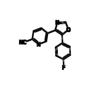 N#Cc1ccc(-c2ncoc2-c2ccc(F)cc2)cn1